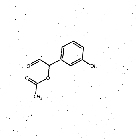 CC(=O)OC([C]=O)c1cccc(O)c1